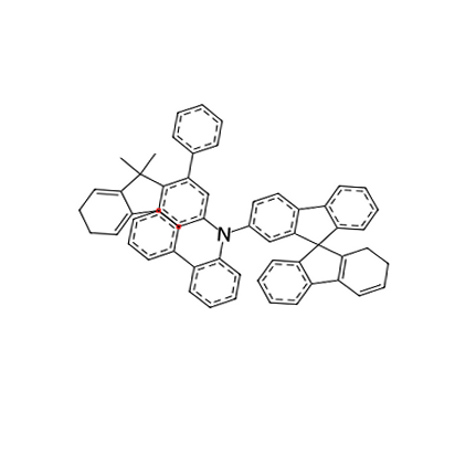 CC1(C)C2=CCCC=C2c2cc(N(c3ccc4c(c3)C3(C5=C(C=CCC5)c5ccccc53)c3ccccc3-4)c3ccccc3-c3ccccc3)cc(-c3ccccc3)c21